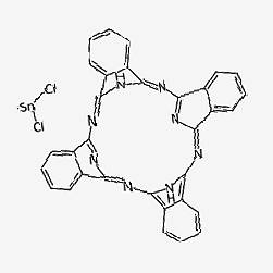 [Cl][Sn][Cl].c1ccc2c(c1)-c1nc-2nc2[nH]c(nc3nc(nc4[nH]c(n1)c1ccccc41)-c1ccccc1-3)c1ccccc21